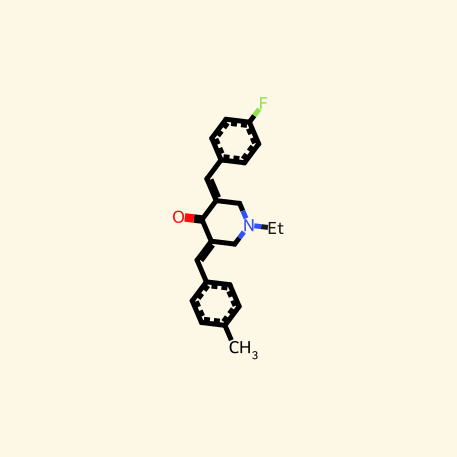 CCN1C/C(=C\c2ccc(C)cc2)C(=O)/C(=C/c2ccc(F)cc2)C1